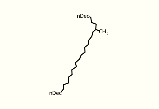 [CH2]C(CCCCCCCCCCCCC)CCCCCCCCCCCCCCCCCCCCCCCCCC